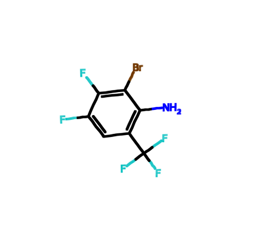 Nc1c(C(F)(F)F)cc(F)c(F)c1Br